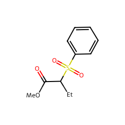 CCC(C(=O)OC)S(=O)(=O)c1ccccc1